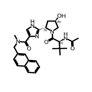 CC(=O)N[C@H](C(=O)N1C[C@H](O)C[C@H]1c1nc(C(=O)N(C)Cc2ccc3ccccc3c2)c[nH]1)C(C)(C)C